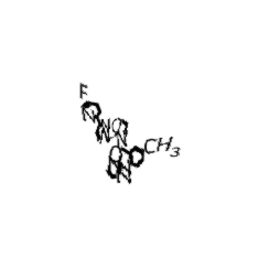 Cc1ccc(-n2nccn2)c(C(=O)N2CCCO[C@H]2Cn2ccc(-c3ccc(F)cn3)n2)c1